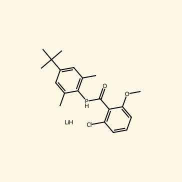 COc1cccc(Cl)c1C(=O)Pc1c(C)cc(C(C)(C)C)cc1C.[LiH]